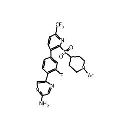 CC(=O)N1CCC(S(=O)(=O)c2nc(C(F)(F)F)ccc2-c2ccc(-c3cnc(N)cn3)c(F)c2)CC1